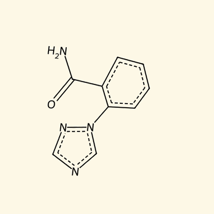 NC(=O)c1ccccc1-n1cncn1